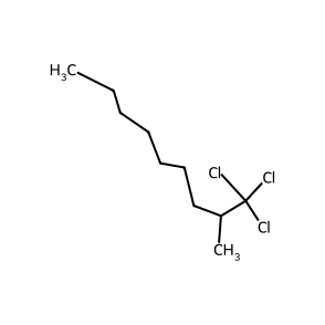 CCCCCCCC(C)C(Cl)(Cl)Cl